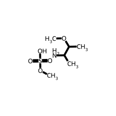 COC(C)C(C)N.COS(=O)(=O)O